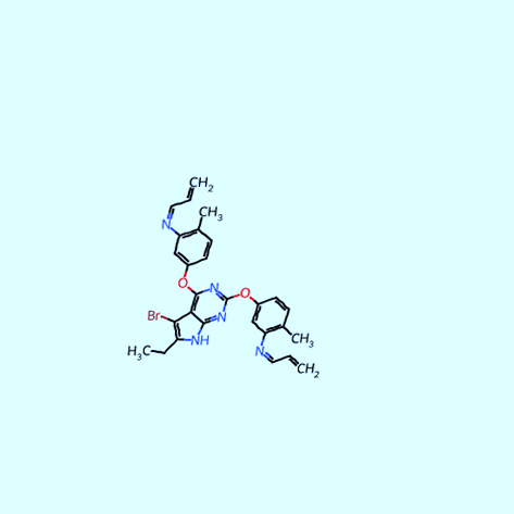 C=C/C=N\c1cc(Oc2nc(Oc3ccc(C)c(/N=C\C=C)c3)c3c(Br)c(CC)[nH]c3n2)ccc1C